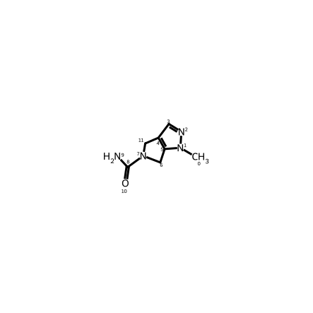 Cn1ncc2c1CN(C(N)=O)C2